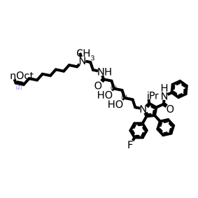 CCCCCCCC/C=C\CCCCCCCCN(C)CCNC(=O)C[C@H](O)C[C@H](O)CCn1c(-c2ccc(F)cc2)c(-c2ccccc2)c(C(=O)Nc2ccccc2)c1C(C)C